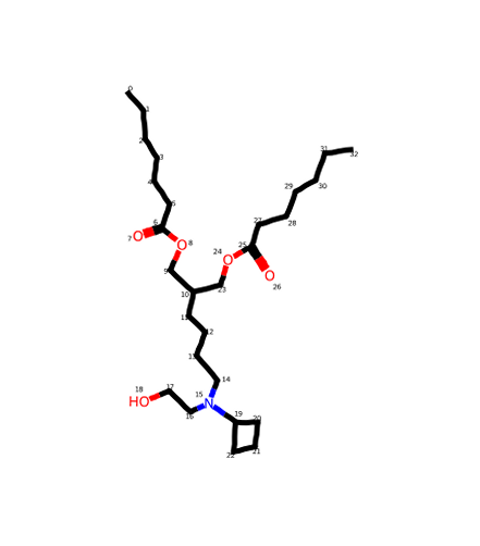 CCCCCCC(=O)OCC(CCCCN(CCO)C1CCC1)COC(=O)CCCCCC